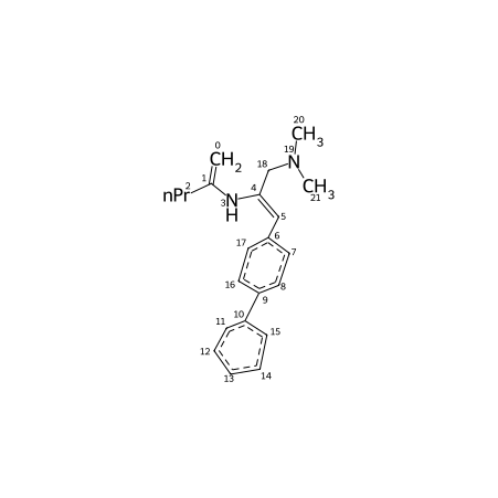 C=C(CCC)N/C(=C\c1ccc(-c2ccccc2)cc1)CN(C)C